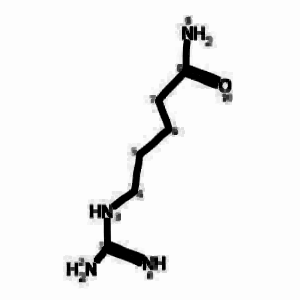 N=C(N)NCCCCC(N)=O